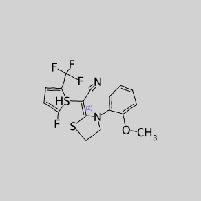 COc1ccccc1N1CCS/C1=C(/C#N)[SH]1C(F)=CC=C1C(F)(F)F